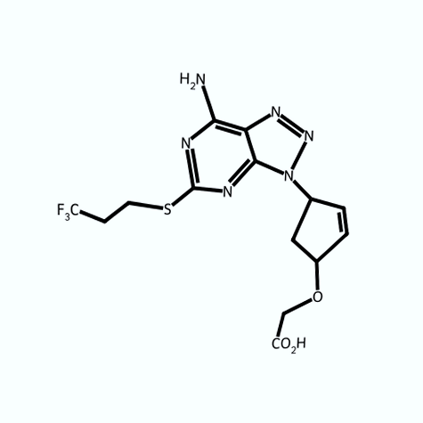 Nc1nc(SCCC(F)(F)F)nc2c1nnn2C1C=CC(OCC(=O)O)C1